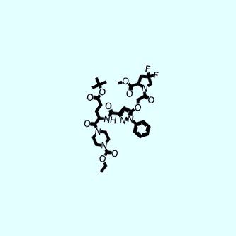 CCOC(=O)N1CCN(C(=O)C(CCC(=O)OC(C)(C)C)NC(=O)c2cc(OCC(=O)N3CC(F)(F)CC3C(=O)OC)n(-c3ccccc3)n2)CC1